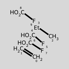 C=C.CCC.O=C(O)F.O=C(O)F.O=C(O)F